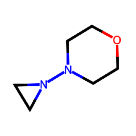 C1CN(N2CC2)CCO1